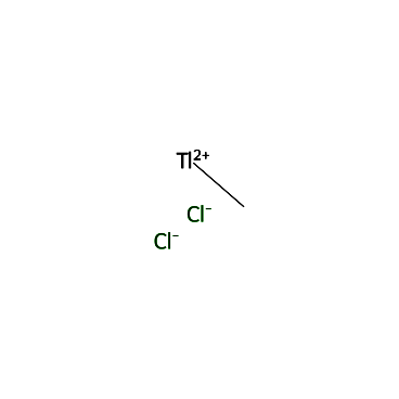 [CH3][Tl+2].[Cl-].[Cl-]